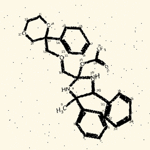 CC1(c2ccccc2)NC(COCC2(C3=CC=CCC3)COCCO2)(OC(=O)C(F)(F)F)NC1c1ccccc1